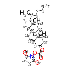 CC(C)CCC[C@@H](C)[C@H]1CCC2C3=CC=C4C[C@@H](OC(=O)ON5C(=O)CCC5=O)CC[C@]4(C)C3CC[C@@]21C